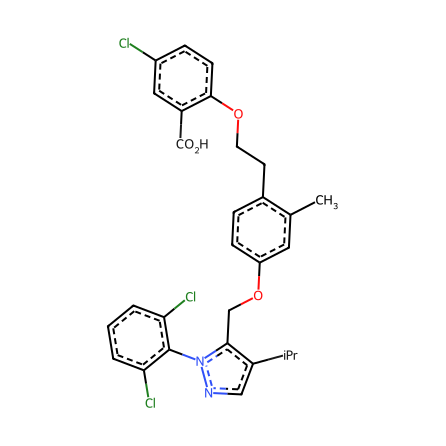 Cc1cc(OCc2c(C(C)C)cnn2-c2c(Cl)cccc2Cl)ccc1CCOc1ccc(Cl)cc1C(=O)O